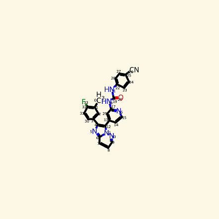 Cc1cc(-c2nc3cccnn3c2-c2ccnc(NC(=O)Nc3ccc(C#N)cc3)c2)ccc1F